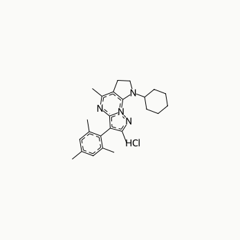 Cc1cc(C)c(-c2c(C)nn3c4c(c(C)nc23)CCN4C2CCCCC2)c(C)c1.Cl